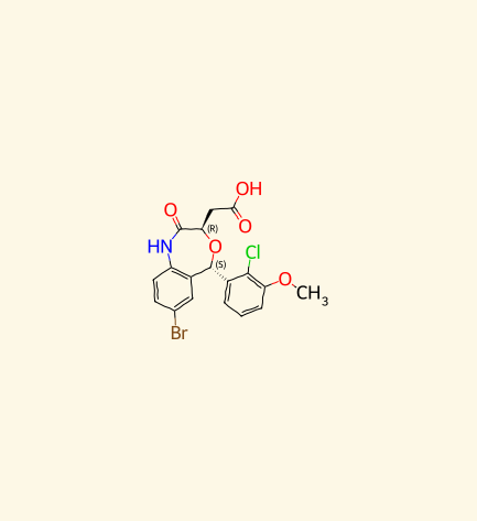 COc1cccc([C@H]2O[C@H](CC(=O)O)C(=O)Nc3ccc(Br)cc32)c1Cl